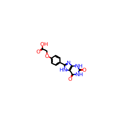 O=C(O)COc1ccc(-c2nc3[nH]c(=O)[nH]c(=O)c3[nH]2)cc1